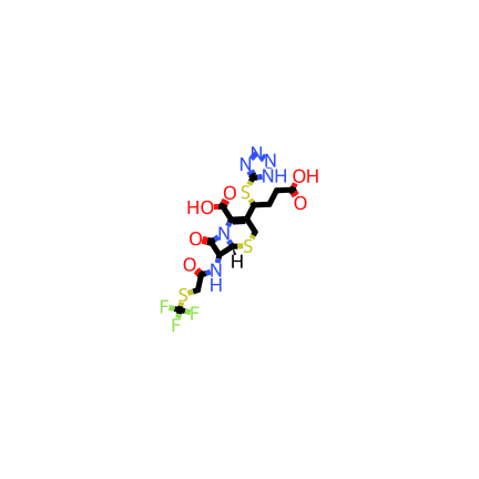 O=C(O)CCC(Sc1nnn[nH]1)C1=C(C(=O)O)N2C(=O)C(NC(=O)CSC(F)(F)F)[C@@H]2SC1